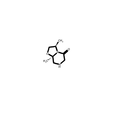 C[C@@H]1CO[C@]2(C)CNCC(=O)N12